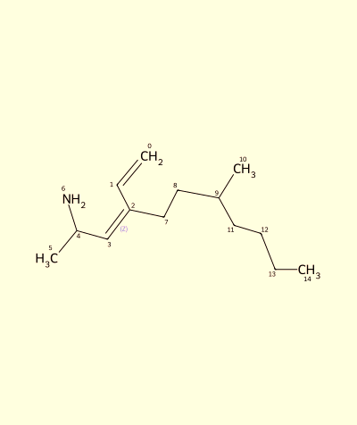 C=C/C(=C\C(C)N)CCC(C)CCCC